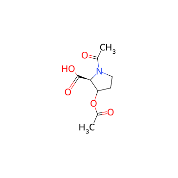 CC(=O)OC1CCN(C(C)=O)[C@@H]1C(=O)O